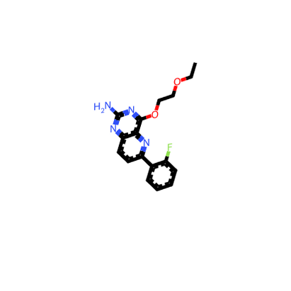 CCOCCOc1nc(N)nc2ccc(-c3ccccc3F)nc12